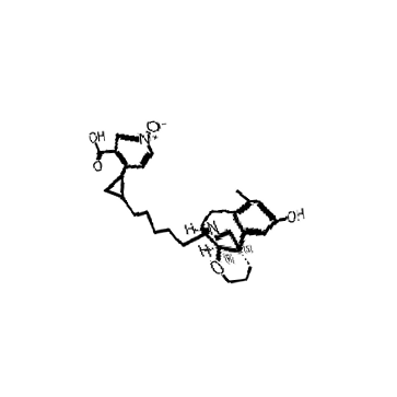 Cc1cc(O)cc2c1C[C@@H]1[C@@H]3OCCC[C@]23CCN1CCCCCC1CC1c1cc[n+]([O-])cc1C(=O)O